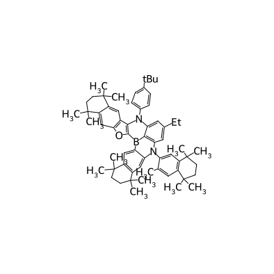 CCc1cc2c3c(c1)N(c1ccc(C(C)(C)C)cc1)c1c(oc4cc5c(cc14)C(C)(C)CCC5(C)C)B3c1cc3c(cc1N2c1cc2c(cc1C)C(C)(C)CCC2(C)C)C(C)(C)CCC3(C)C